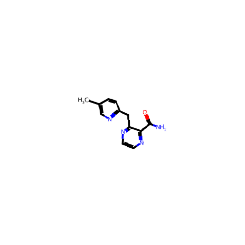 Cc1ccc(Cc2nccnc2C(N)=O)nc1